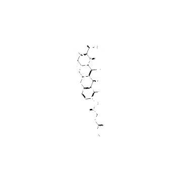 COC(=O)CCC(=O)Nc1ccc2c(c1O)C(=O)C1=C(O)[C@]3(O)C(=O)C(C(N)=O)=C(O)C[C@@H]3C[C@@H]1C2